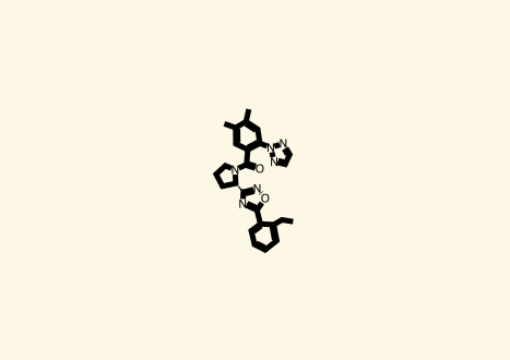 CCc1ccccc1-c1nc([C@@H]2CCCN2C(=O)c2cc(C)c(C)cc2-n2nccn2)no1